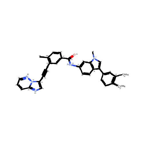 COc1ccc(-c2cn(C)c3cc(NC(=O)c4ccc(C)c(C#Cc5cnc6cccnn56)c4)ccc23)cc1OC